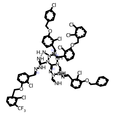 N=CN(/N=C(\N(C=N)N/N=C/c1cccc(OCc2ccc(Cl)cc2)c1Cl)N(C(=N)N/N=C/c1cccc(OCc2cccc(C(F)(F)F)c2Cl)c1Cl)N(N)/N=C/c1cccc(OCc2cccc(Cl)c2Cl)c1Cl)NN=Cc1cccc(OCc2ccccc2)c1Cl